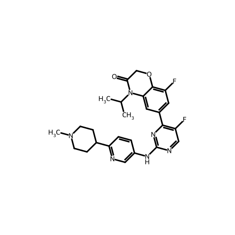 CC(C)N1C(=O)COc2c(F)cc(-c3nc(Nc4ccc(C5CCN(C)CC5)nc4)ncc3F)cc21